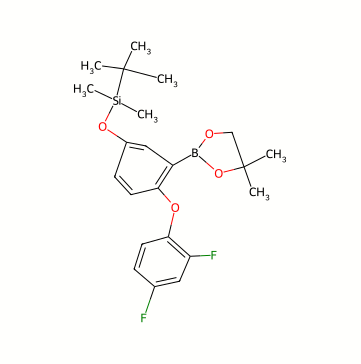 CC1(C)COB(c2cc(O[Si](C)(C)C(C)(C)C)ccc2Oc2ccc(F)cc2F)O1